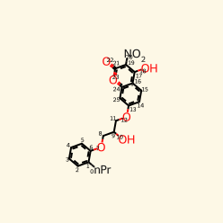 CCCc1ccccc1OCC(O)COc1ccc2c(O)c([N+](=O)[O-])c(=O)oc2c1